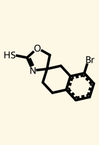 SC1=NC2(CCc3cccc(Br)c3C2)CO1